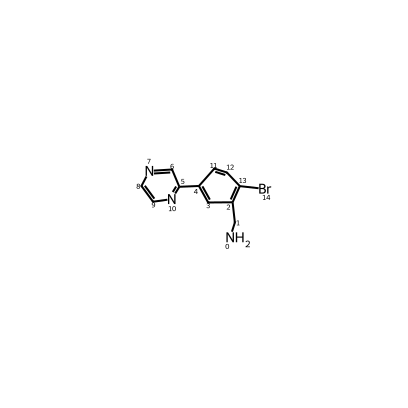 NCc1cc(-c2cnccn2)ccc1Br